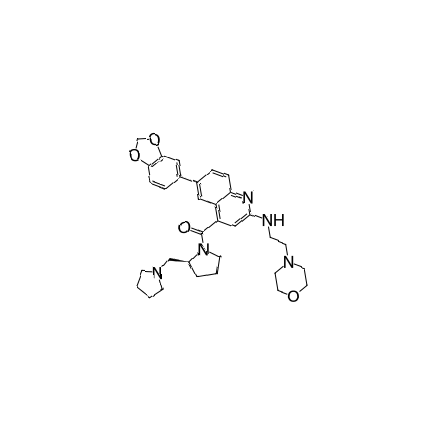 O=C(c1cc(NCCN2CCOCC2)nc2ccc(-c3ccc4c(c3)OCO4)cc12)N1CCC[C@H]1CN1CCCC1